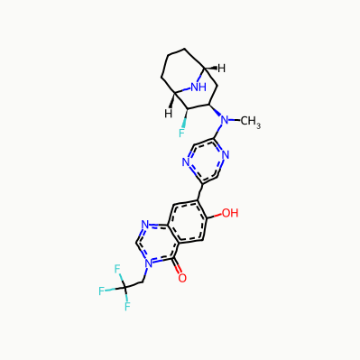 CN(c1cnc(-c2cc3ncn(CC(F)(F)F)c(=O)c3cc2O)cn1)[C@@H]1C[C@H]2CCC[C@H](N2)[C@@H]1F